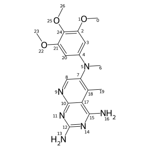 COc1cc(N(C)c2cnc3nc(N)nc(N)c3c2C)cc(OC)c1OC